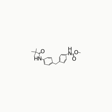 COC(=O)Nc1ccc(Cc2ccc(NC(=O)C(C)(C)C)cc2)cc1